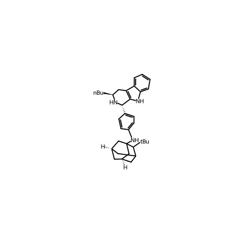 CCCC[C@H]1Cc2c([nH]c3ccccc23)[C@H](c2ccc(NC34C[C@H]5CC(C[C@@H](C5)C3)C4C(C)(C)C)cc2)N1